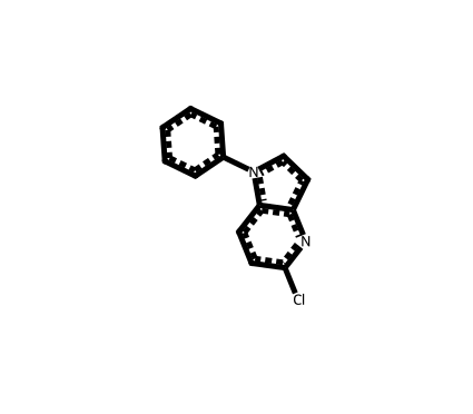 Clc1ccc2c(ccn2-c2ccccc2)n1